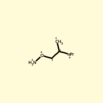 CCCC(C)CON